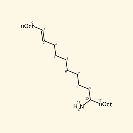 CCCCCCCCC=CCCCCCCCC(N)CCCCCCCC